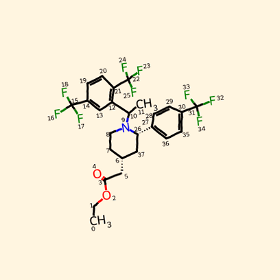 CCOC(=O)C[C@@H]1CCN(C(C)c2cc(C(F)(F)F)ccc2C(F)(F)F)[C@H](c2ccc(C(F)(F)F)cc2)C1